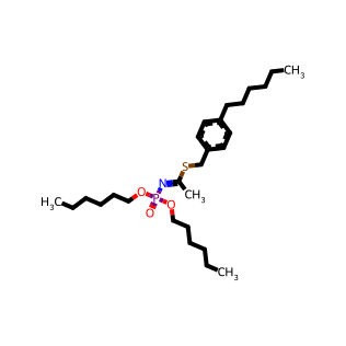 CCCCCCOP(=O)(/N=C(\C)SCc1ccc(CCCCCC)cc1)OCCCCCC